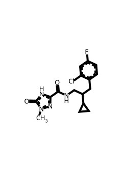 Cn1nc(C(=O)NCC(Cc2ccc(F)cc2Cl)C2CC2)[nH]c1=O